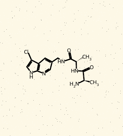 C[C@H](NC(=O)[C@@H](C)N)C(=O)NCc1cnc2[nH]cc(Cl)c2c1